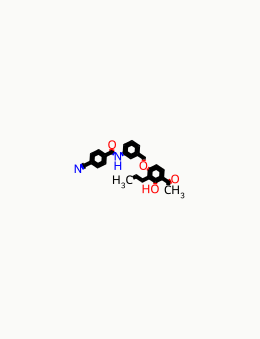 CCCc1c(OCc2cccc(NC(=O)c3ccc(C#N)cc3)c2)ccc(C(C)=O)c1O